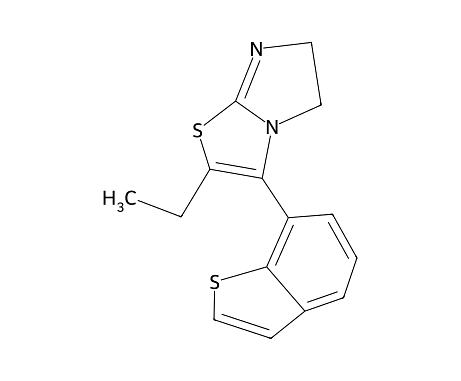 CCC1=C(c2cccc3ccsc23)N2CCN=C2S1